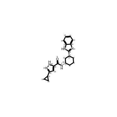 O=C(N[C@H]1CCC[C@H](c2nc3ccccc3[nH]2)C1)c1cc(C2CC2)n[nH]1